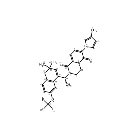 Cc1cn(-c2ccc3n(c2=O)CCN([C@@H](C)C2=CC(C)(C)Oc4ccc(OC(F)(F)F)cc42)C3=O)cn1